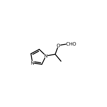 CC(OC=O)n1ccnc1